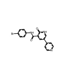 O=C(Nc1ccc(Br)cc1)c1cc(-c2ccncc2)c[nH]c1=O